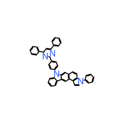 c1ccc(-c2cc(-c3ccccc3)nc(-c3ccc(-n4c5ccccc5c5cc6c(ccc7c6ccn7-c6ccccc6)cc54)cc3)n2)cc1